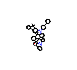 CC1(C)c2ccccc2-c2ccc(N(c3ccc(-c4ccccc4)cc3)c3cccc4c3C(C)(C)c3ccccc3C43c4ccccc4-n4c5ccccc5c5cccc3c54)cc21